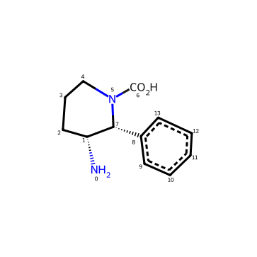 N[C@@H]1CCCN(C(=O)O)[C@@H]1c1ccccc1